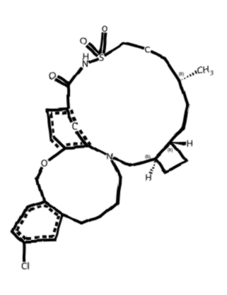 C[C@H]1CCCS(=O)(=O)NC(=O)c2ccc3c(c2)N(CCCCc2cc(Cl)ccc2CO3)C[C@@H]2CC[C@H]2CC1